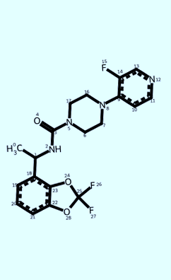 CC(NC(=O)N1CCN(c2ccncc2F)CC1)c1cccc2c1OC(F)(F)O2